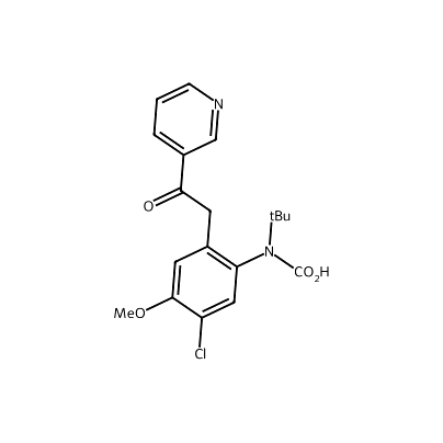 COc1cc(CC(=O)c2cccnc2)c(N(C(=O)O)C(C)(C)C)cc1Cl